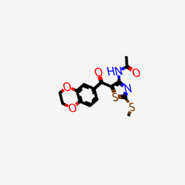 CSc1nc(NC(C)=O)c(C(=O)c2ccc3c(c2)OCCO3)s1